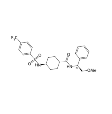 COC[C@@H](NC(=O)[C@H]1CC[C@H](NS(=O)(=O)c2ccc(C(F)(F)F)cc2)CC1)c1ccccc1